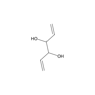 C=C[C](O)C(O)C=C